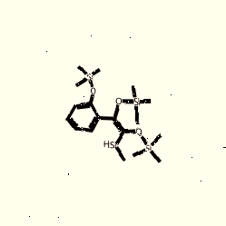 C[SiH](C)C(O[Si](C)(C)C)=C(O[Si](C)(C)C)c1ccccc1O[Si](C)(C)C